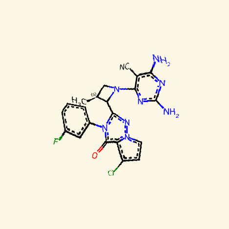 C[C@H]1CN(c2nc(N)nc(N)c2C#N)C1c1nn2ccc(Cl)c2c(=O)n1-c1cccc(F)c1